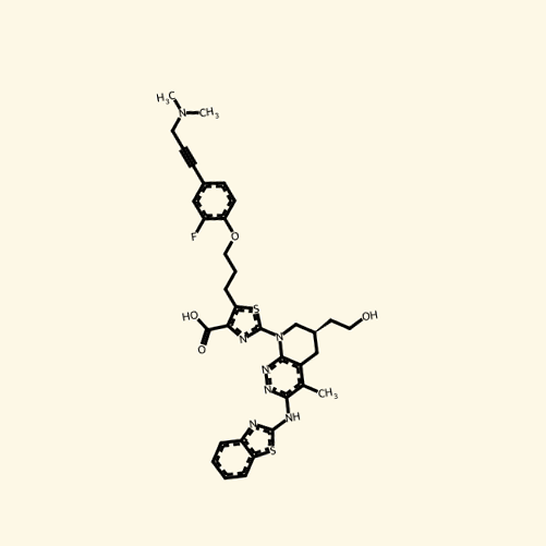 Cc1c(Nc2nc3ccccc3s2)nnc2c1C[C@H](CCO)CN2c1nc(C(=O)O)c(CCCOc2ccc(C#CCN(C)C)cc2F)s1